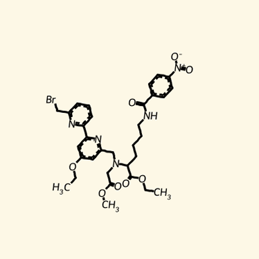 CCOC(=O)C(CCCCNC(=O)c1ccc([N+](=O)[O-])cc1)N(CC(=O)OC)Cc1cc(OCC)cc(-c2cccc(CBr)n2)n1